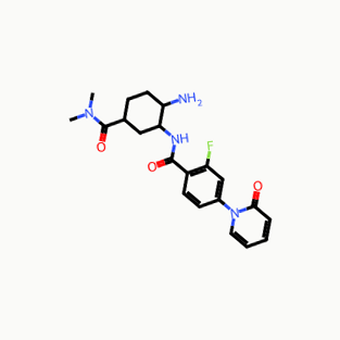 CN(C)C(=O)C1CCC(N)C(NC(=O)c2ccc(-n3ccccc3=O)cc2F)C1